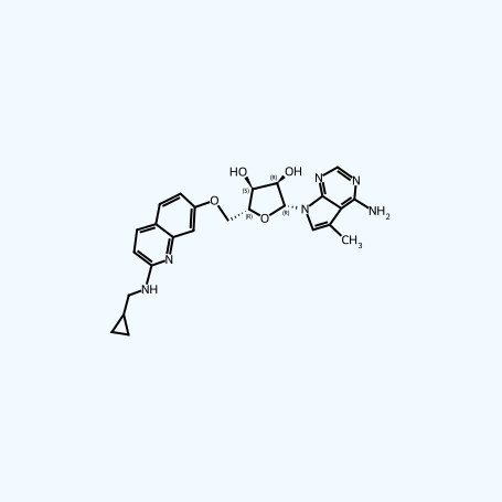 Cc1cn([C@@H]2O[C@H](COc3ccc4ccc(NCC5CC5)nc4c3)[C@@H](O)[C@H]2O)c2ncnc(N)c12